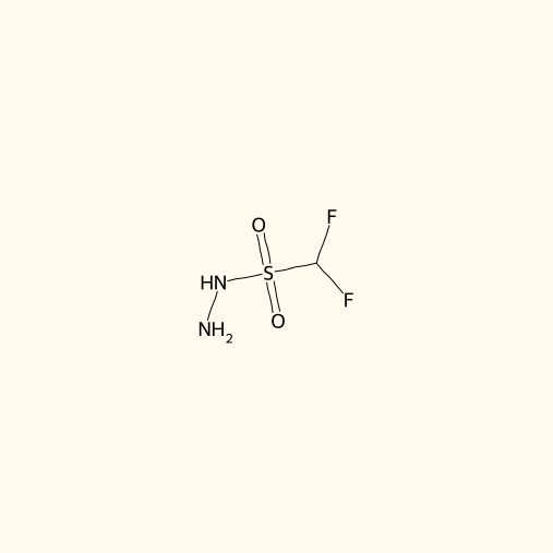 NNS(=O)(=O)C(F)F